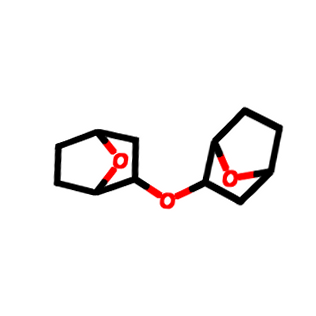 C1CC2OC1CC2OC1CC2CCC1O2